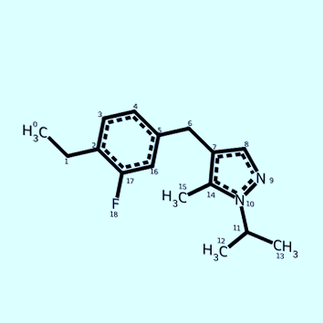 CCc1ccc(Cc2cnn(C(C)C)c2C)cc1F